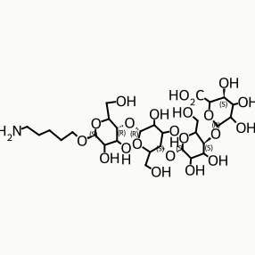 NCCCCCO[C@H]1OC(CO)[C@H](O[C@H]2OC(CO)[C@@H](O[C@@H]3OC(CO)[C@@H](O[C@@H]4OC(C(=O)O)[C@@H](O)C(O)C4O)C(O)C3O)C(O)C2O)C(O)C1O